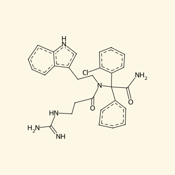 N=C(N)NCCC(=O)N(CCc1c[nH]c2ccccc12)C(C(N)=O)(c1ccccc1)c1ccccc1Cl